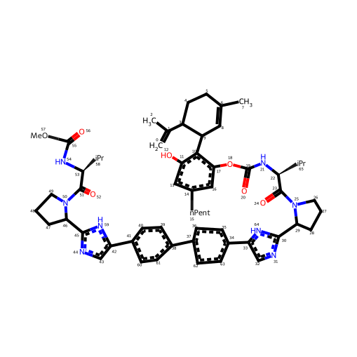 C=C(C)C1CCC(C)=CC1c1c(O)cc(CCCCC)cc1OC(=O)N[C@H](C(=O)N1CCCC1c1ncc(-c2ccc(-c3ccc(-c4cnc(C5CCCN5C(=O)[C@@H](NC(=O)OC)C(C)C)[nH]4)cc3)cc2)[nH]1)C(C)C